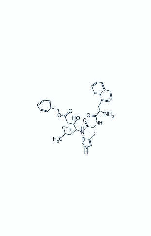 CC(C)CC(NC(=O)[C@@H](Cc1c[nH]cn1)NC(=O)[C@H](N)Cc1cccc2ccccc12)C(O)CC(=O)OCc1ccccc1